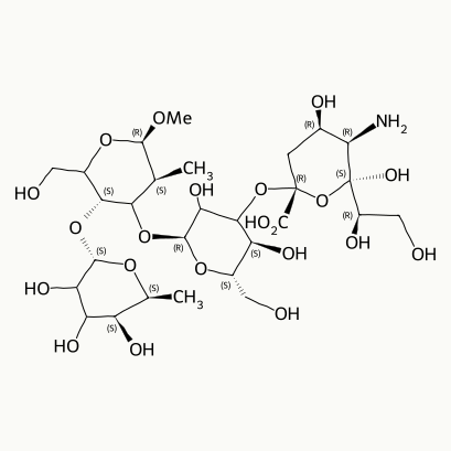 CO[C@@H]1OC(CO)[C@@H](O[C@@H]2O[C@@H](C)[C@@H](O)C(O)C2O)C(O[C@@H]2O[C@@H](CO)[C@H](O)C(O[C@]3(C(=O)O)C[C@@H](O)[C@@H](N)[C@@](O)([C@H](O)CO)O3)C2O)[C@@H]1C